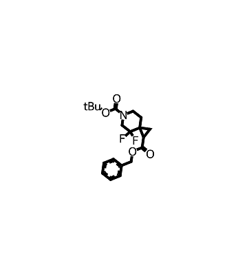 CC(C)(C)OC(=O)N1CCC2(CC2C(=O)OCc2ccccc2)C(F)(F)C1